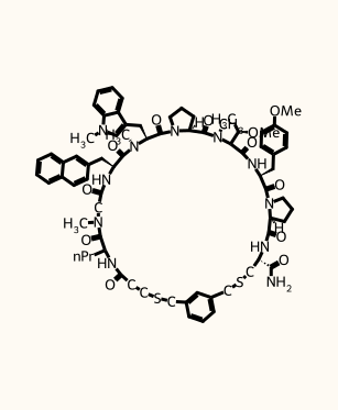 CCCC1NC(=O)CCSCc2cccc(c2)CSC[C@@H](C(N)=O)NC(=O)[C@@H]2CCCN2C(=O)[C@H](Cc2ccc(OC)cc2)NC(=O)C([C@@H](C)OC)N(C)C(=O)[C@@H]2CCCN2C(=O)[C@H](Cc2cn(C)c3ccccc23)N(C)C(=O)[C@H](Cc2ccc3ccccc3c2)NC(=O)CN(C)C1=O